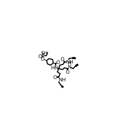 C#CCNC(=O)CCC(CCC(=O)NCC#C)(CCC(=O)NCC#C)NC(=O)[C@H]1CC[C@@H](OP(=O)(S)CC)CC1